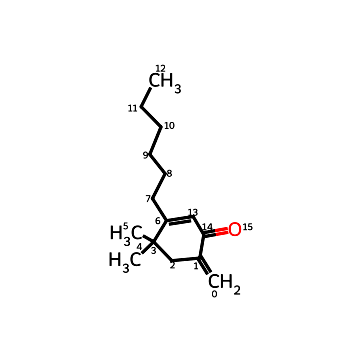 C=C1CC(C)(C)C(CCCCCC)=CC1=O